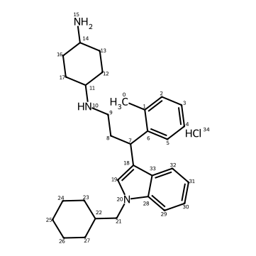 Cc1ccccc1C(CCNC1CCC(N)CC1)c1cn(CC2CCCCC2)c2ccccc12.Cl